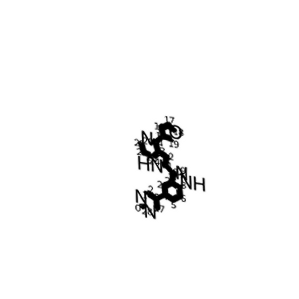 c1ncc(-c2ccc3[nH]nc(-c4cc5c(-c6ccoc6)nccc5[nH]4)c3c2)cn1